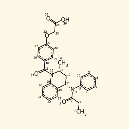 CCC(=O)N(c1ccccc1)[C@H]1C[C@@H](C)N(C(=O)c2ccc(OCC(=O)O)cc2)c2ccccc21